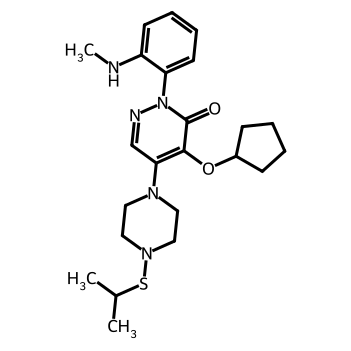 CNc1ccccc1-n1ncc(N2CCN(SC(C)C)CC2)c(OC2CCCC2)c1=O